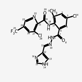 Cc1cc(Cl)cc(C(=O)NN=Cc2c[nH]cn2)c1NC(=O)c1ncc(C(F)(F)F)cc1Cl